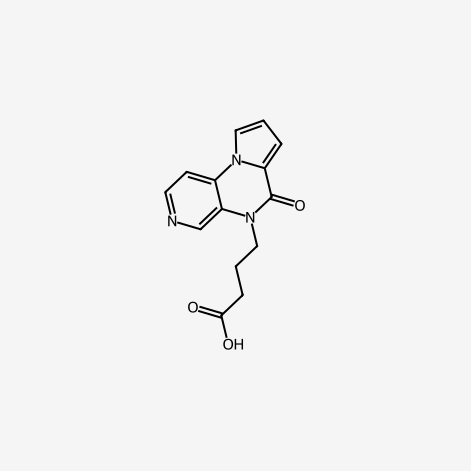 O=C(O)CCCn1c(=O)c2cccn2c2ccncc21